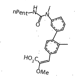 CCCCCNC(=O)N(C)c1cccc(-c2ccc(C=C(OC)C(=O)O)cc2C)c1